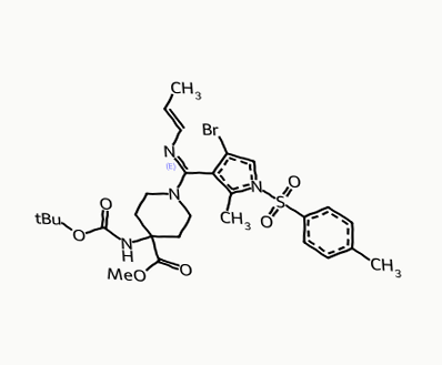 CC=C/N=C(\c1c(Br)cn(S(=O)(=O)c2ccc(C)cc2)c1C)N1CCC(NC(=O)OC(C)(C)C)(C(=O)OC)CC1